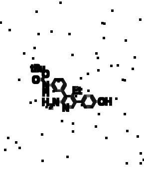 CCc1c(-c2ccc(O)cc2)cnc(N)c1-c1cccc(NC(=O)OC(C)(C)C)c1